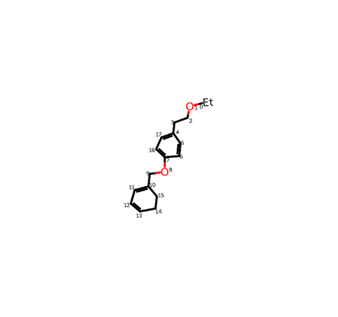 CCOCCc1ccc(OCC2=CC=CCC2)cc1